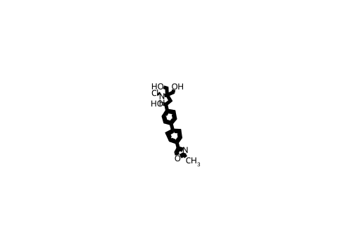 Cc1nc(-c2ccc(-c3ccc(C(O)CC(CO)(CO)NCl)cc3)cc2)co1